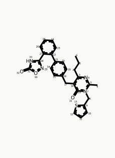 CCCc1nc(C)n(Cc2cccs2)c(=O)c1Cc1ccc(-c2ccccc2-c2noc(=O)[nH]2)cc1